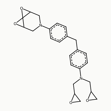 c1cc(N(CC2CO2)CC2CO2)ccc1Cc1ccc(N2CC3OC34OC4C2)cc1